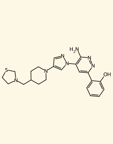 Nc1nnc(-c2ccccc2O)cc1-n1cc(N2CCC(CN3CCSC3)CC2)cn1